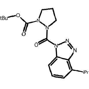 CC(C)c1cccc2c1nnn2C(=O)N1CCCN1C(=O)OC(C)(C)C